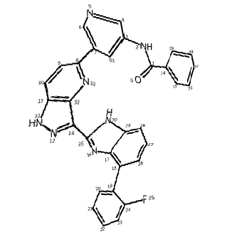 O=C(Nc1cncc(-c2ccc3[nH]nc(-c4nc5c(-c6ccccc6F)cccc5[nH]4)c3n2)c1)c1ccccc1